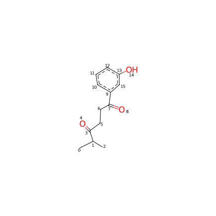 CC(C)C(=O)CCC(=O)c1cccc(O)c1